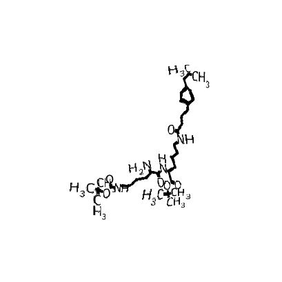 CC(C)Cc1ccc(CCCC(=O)NCCCCC(NC(=O)C(N)CCCCNC(=O)OC(C)(C)C)C(=O)OC(C)(C)C)cc1